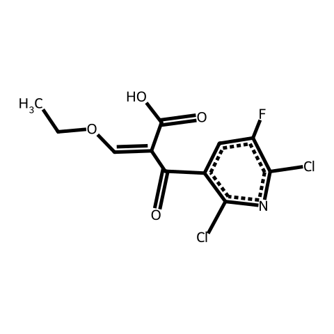 CCOC=C(C(=O)O)C(=O)c1cc(F)c(Cl)nc1Cl